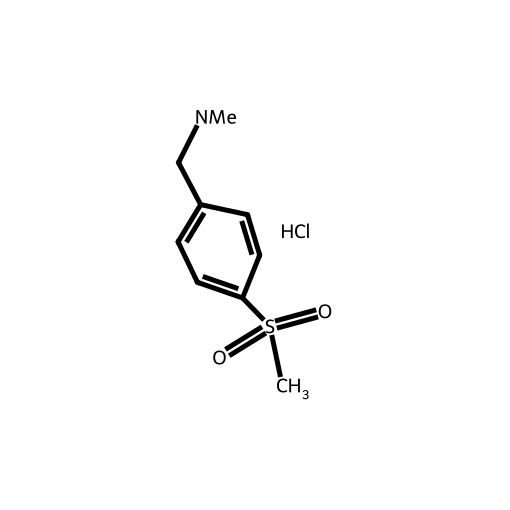 CNCc1ccc(S(C)(=O)=O)cc1.Cl